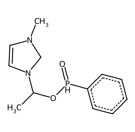 CC(O[PH](=O)c1ccccc1)N1C=CN(C)C1